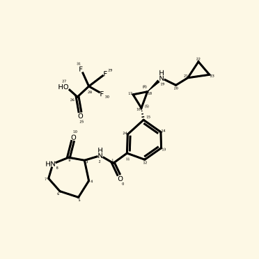 O=C(NC1CCCCNC1=O)c1cccc([C@@H]2C[C@H]2NCC2CC2)c1.O=C(O)C(F)(F)F